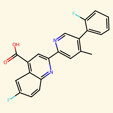 Cc1cc(-c2cc(C(=O)O)c3cc(F)ccc3n2)ncc1-c1ccccc1F